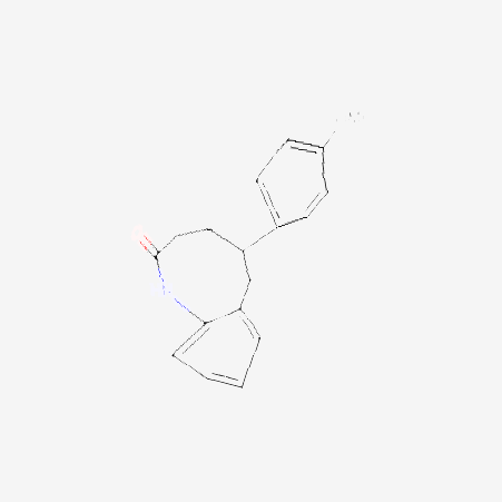 COc1ccc(C2CC(=O)Nc3ccccc3C2)cc1